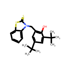 CC(C)(C)c1cc(Cn2c(=S)sc3ccccc32)c(O)c(C(C)(C)C)c1